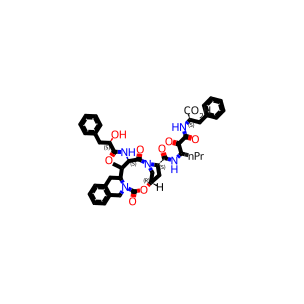 CCCC(NC(=O)[C@@H]1C[C@@H]2CN1C(=O)[C@@H](NC(=O)[C@@H](O)Cc1ccccc1)C(C)C1Cc3ccccc3CN1C(=O)O2)C(=O)C(=O)N[C@@H](Cc1ccccc1)C(=O)O